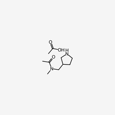 CC(=O)N(C)CC1CCNC1.CC(=O)O